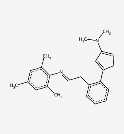 Cc1cc(C)c(N=CCc2ccccc2C2=CC(N(C)C)=CC2)c(C)c1